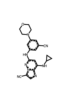 N#Cc1cc(Nc2cc(NC3CC3)c3ncc(C#N)n3n2)cc(N2CCOCC2)c1